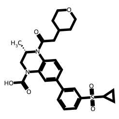 C[C@H]1CN(C(=O)O)c2cc(-c3cccc(S(=O)(=O)C4CC4)c3)ccc2N1C(=O)CC1CCOCC1